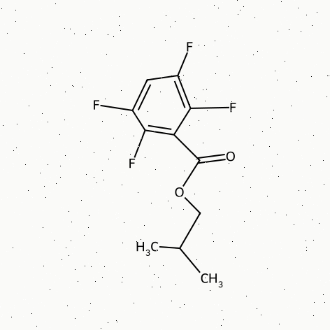 CC(C)COC(=O)c1c(F)c(F)cc(F)c1F